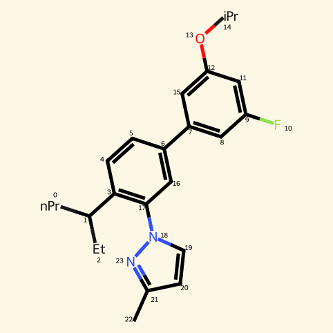 CCCC(CC)c1ccc(-c2cc(F)cc(OC(C)C)c2)cc1-n1ccc(C)n1